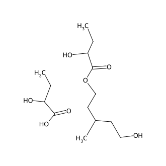 CCC(O)C(=O)O.CCC(O)C(=O)OCCC(C)CCO